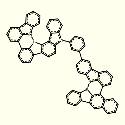 c1cc(-c2ccc3c(c2)c2cccc4c2n3B2c3ccccc3-c3cc5ccccc5c-4c32)cc(-n2c3ccccc3c3c4c(ccc32)-c2cccc3c2B4n2c4ccccc4c4cccc-3c42)c1